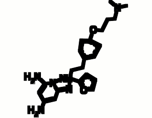 CN(C)CCCOc1ccc(CCC2(c3ccco3)N=C3C=C(N)C=C(N)N3N2)cc1